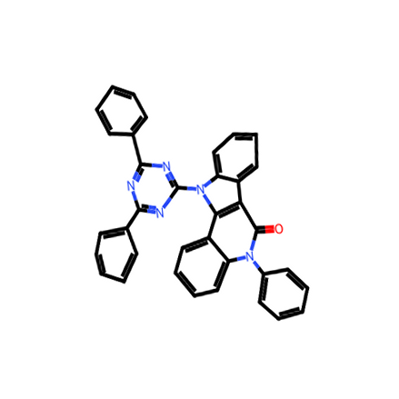 O=c1c2c3ccccc3n(-c3nc(-c4ccccc4)nc(-c4ccccc4)n3)c2c2ccccc2n1-c1ccccc1